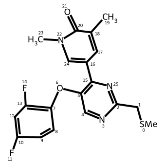 CSCc1ncc(Oc2ccc(F)cc2F)c(-c2cc(C)c(=O)n(C)c2)n1